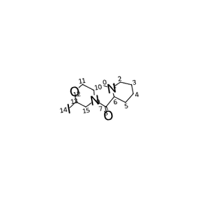 CN1CCCCC1C(=O)N1CCOC(I)C1